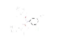 CSc1cc(Cl)cc(N(C(=O)OC(C)(C)C)C(=O)OC(C)(C)C)c1